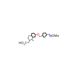 CON=Cc1ccc(COc2ccc3c(c2)C(C)C(CC(=O)O)CC3)cc1